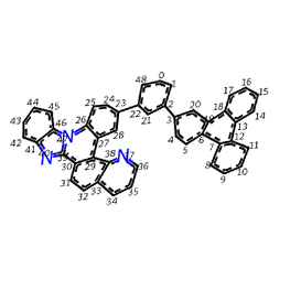 c1cc(-c2ccc3c4ccccc4c4ccccc4c3c2)cc(-c2ccc3c(c2)c2c(ccc4cccnc42)c2nc4ccccc4n32)c1